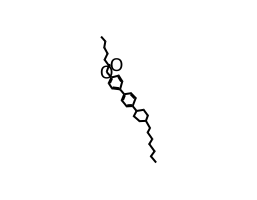 CCCCCCCC1CCC(c2ccc(-c3ccc(OC(=O)CCCCC)cc3)cc2)CC1